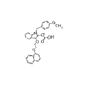 COc1ccc(Cn2c(OC(=O)O)c(OCCOc3cccc4ccccc34)c3ccccc32)cc1